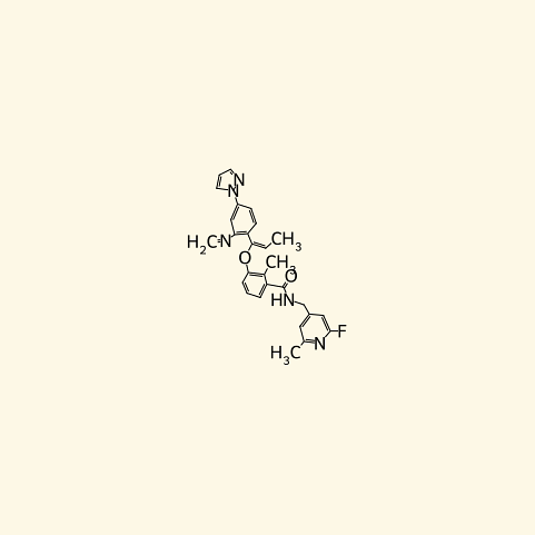 C=Nc1cc(-n2cccn2)ccc1/C(=C\C)Oc1cccc(C(=O)NCc2cc(C)nc(F)c2)c1C